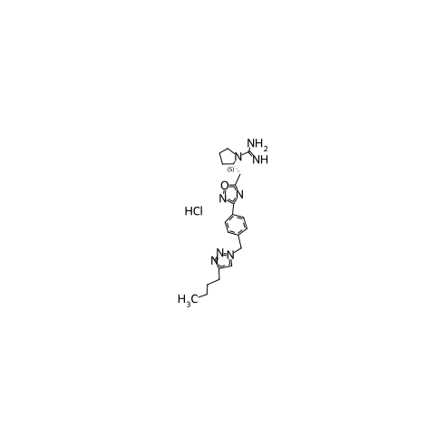 CCCCc1cn(Cc2ccc(-c3noc(C[C@@H]4CCCN4C(=N)N)n3)cc2)nn1.Cl